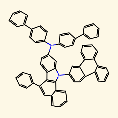 c1ccc(-c2ccc(N(c3ccc(-c4ccccc4)cc3)c3ccc4c5c(-c6ccccc6)cc6ccccc6c5n(-c5ccc6c7ccccc7c7ccccc7c6c5)c4c3)cc2)cc1